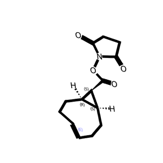 O=C(ON1C(=O)CCC1=O)[C@@H]1[C@@H]2CC/C=C/CC[C@@H]21